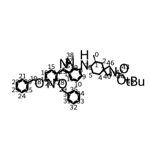 C[C@H]1CC2(CC[C@@H]1Nc1cccc3c(-c4ccc(OCc5ccccc5)nc4OCc4ccccc4)nn(C)c13)CN(C(=O)OC(C)(C)C)C2